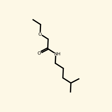 CCOCC(=O)NCCCC(C)C